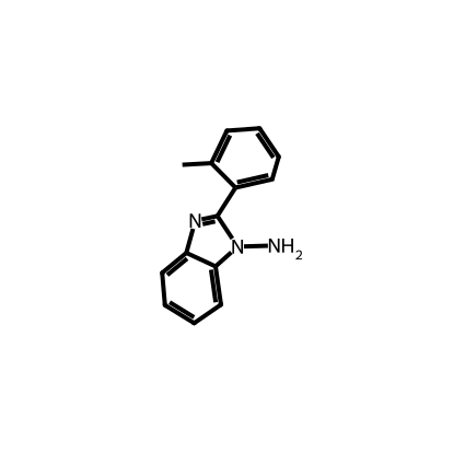 Cc1ccccc1-c1nc2ccccc2n1N